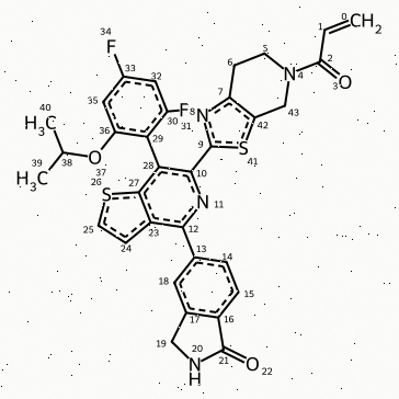 C=CC(=O)N1CCc2nc(-c3nc(-c4ccc5c(c4)CNC5=O)c4ccsc4c3-c3c(F)cc(F)cc3OC(C)C)sc2C1